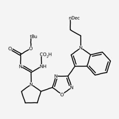 CCCCCCCCCCCCn1cc(-c2noc(C3CCCN3C(=NC(=O)OC(C)(C)C)NC(=O)O)n2)c2ccccc21